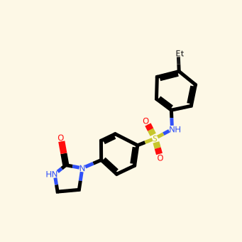 CCc1ccc(NS(=O)(=O)c2ccc(N3CCNC3=O)cc2)cc1